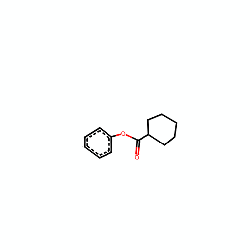 O=C(Oc1cc[c]cc1)C1CCCCC1